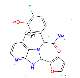 NC(=O)C(c1ccc(F)c(O)c1)N1c2c(C(=O)O)ccnc2NC1c1ccco1